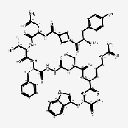 CC(=O)N[C@H](Cc1ccc(O)cc1)C(=O)N1CC(C(=O)N[C@@H](CC(N)=O)C(=O)N[C@H](C(=O)N[C@@H](Cc2ccccc2)C(=O)NNC(=O)N[C@@H](CC(C)C)C(=O)N[C@@H](CCCNC(=N)N)C(=O)N[C@@H](Cc2c[nH]c3ccccc23)C(N)=O)[C@@H](C)O)C1